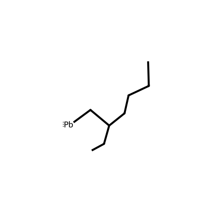 CCCCC(CC)[CH2][Pb]